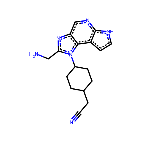 N#CCC1CCC(n2c(CN)nc3cnc4[nH]ccc4c32)CC1